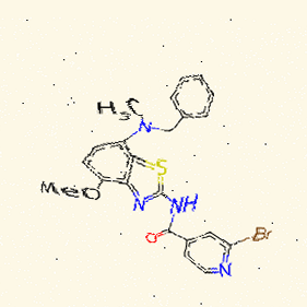 COc1ccc(N(C)Cc2ccccc2)c2sc(NC(=O)c3ccnc(Br)c3)nc12